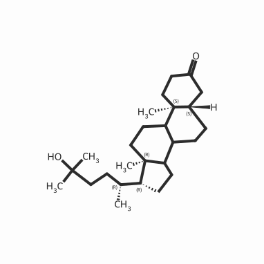 C[C@H](CCC(C)(C)O)[C@H]1CCC2C3CC[C@H]4CC(=O)CC[C@]4(C)C3CC[C@@]21C